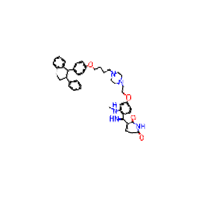 CNc1cc(OCCN2CCN(CCCCOc3ccc(C4c5ccccc5CCC4c4ccccc4)cc3)CC2)ccc1C(=N)C1CCC(=O)NC1=O